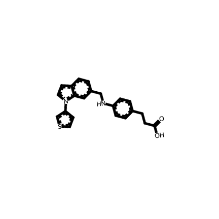 O=C(O)CCc1ccc(NCc2ccc3ccn(-c4ccsc4)c3c2)cc1